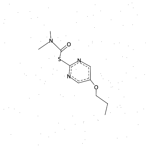 CCCOc1cnc(SC(=O)N(C)C)nc1